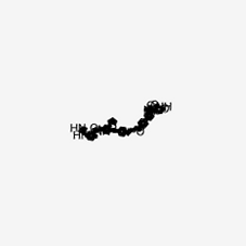 Cc1ccc(NC2CNC2)cc1C(=O)N[C@@H](C)c1ccc(C#CC2CCN(CCCCC(=O)N3CCC(c4ccc5c(c4)n(C)c(=O)n5C4CCC(=O)NC4=O)CC3)CC2)c(-c2cccs2)c1